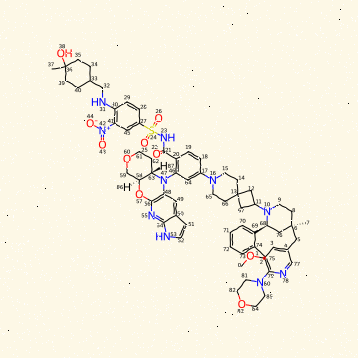 COc1cc(C[C@]2(C)CCN(C3CC4(CCN(c5ccc(C(=O)NS(=O)(=O)c6ccc(NCC7CCC(C)(O)CC7)c([N+](=O)[O-])c6)c(N6c7cc8cc[nH]c8nc7O[C@H]7COCC[C@@H]76)c5)CC4)C3)[C@H](c3ccccc3C)C2)cnc1N1CCOCC1